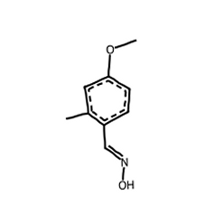 COc1ccc(C=NO)c(C)c1